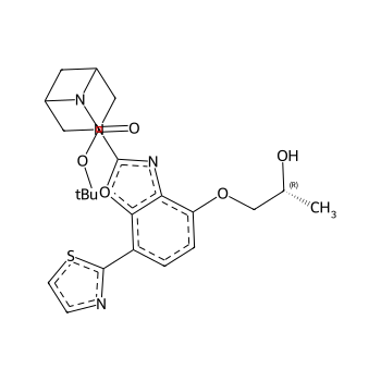 C[C@@H](O)COc1ccc(-c2nccs2)c2oc(N3CC4CC(C3)N4C(=O)OC(C)(C)C)nc12